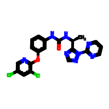 C[C@H](NC(=O)Nc1cccc(Oc2ncc(Cl)cc2Cl)c1)c1ncnn1-c1ncccn1